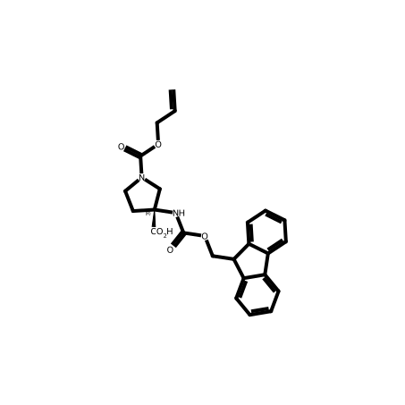 C=CCOC(=O)N1CC[C@](NC(=O)OCC2c3ccccc3-c3ccccc32)(C(=O)O)C1